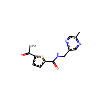 COC(=O)c1ccc(C(=O)NCc2cnc(C)cn2)s1